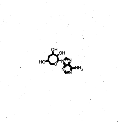 Nc1ncnc2c1ncn2[C@@H]1OCC(O)CC(O)C1O